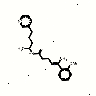 COc1ccccc1/C(C)=C/CCC(=O)NC(C)CCCc1cccnc1